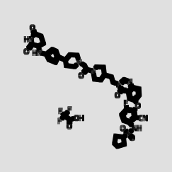 N#Cc1c(NS(=O)(=O)C2CCCC2)ccc(F)c1Oc1ccc2ncn(CCC3CCN(C(=O)CN4CCC(c5ccc(NC6CCC(=O)NC6=O)cc5)CC4)CC3)c(=O)c2c1.O=C(O)C(F)(F)F